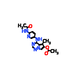 CC(=O)Nc1ccc(Nc2ncnn3cc(OC(C)=O)c(C)c23)cn1